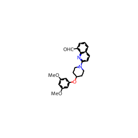 COc1cc(OC)cc(OC2CCN(c3ccc4cccc(C=O)c4n3)CC2)c1